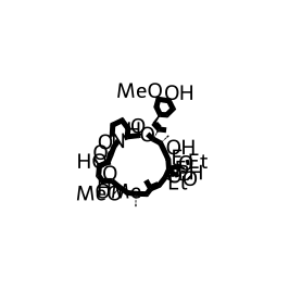 CCO[PH](=O)OC1(C(F)F)C[C@H](O)[C@@H](C)[C@@H](/C(C)=C/[C@@H]2CC[C@@H](O)[C@H](OC)C2)OC(=O)[C@@H]2CCCCN2C(=O)C(=O)[C@]2(O)O[C@H]([C@@H](OC)C[C@@H](C)C/C(C)=C/[C@H]1CC)[C@@H](OC)C[C@H]2C